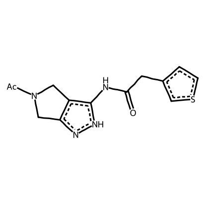 CC(=O)N1Cc2n[nH]c(NC(=O)Cc3ccsc3)c2C1